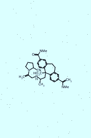 C=C(NC)c1ccc2c(c1)CCc1cc(C(=O)NC)ccc1C2(C[C@@H](C)NCC(=C)N1CCCC1C#N)C(=O)O